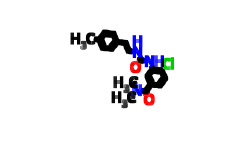 Cc1ccc(CCNC(=O)Nc2cc(C(=O)N(C)C)ccc2Cl)cc1